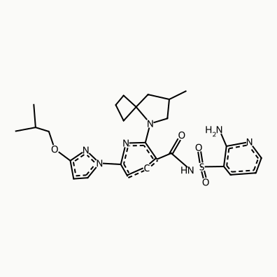 CC(C)COc1ccn(-c2ccc(C(=O)NS(=O)(=O)c3cccnc3N)c(N3CC(C)CC34CCC4)n2)n1